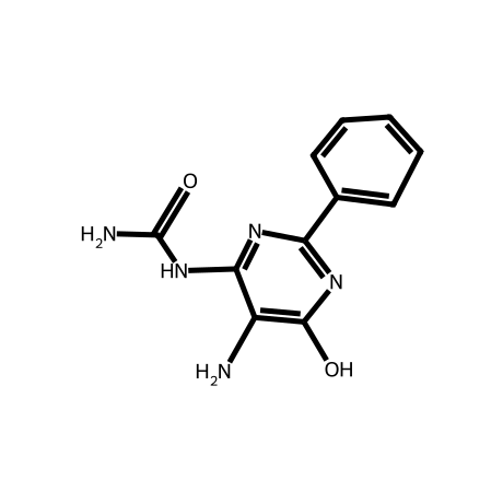 NC(=O)Nc1nc(-c2ccccc2)nc(O)c1N